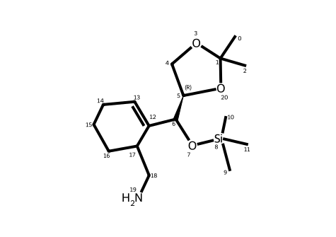 CC1(C)OC[C@H](C(O[Si](C)(C)C)C2=CCCCC2CN)O1